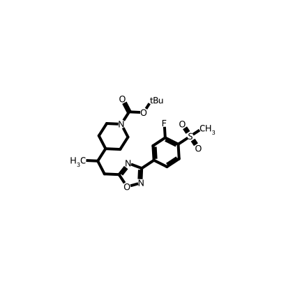 CC(Cc1nc(-c2ccc(S(C)(=O)=O)c(F)c2)no1)C1CCN(C(=O)OC(C)(C)C)CC1